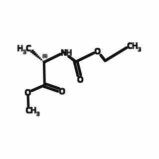 CCOC(=O)N[C@@H](C)C(=O)OC